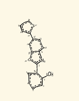 Oc1ccccc1-c1nc2ccc(-c3cccs3)cc2o1